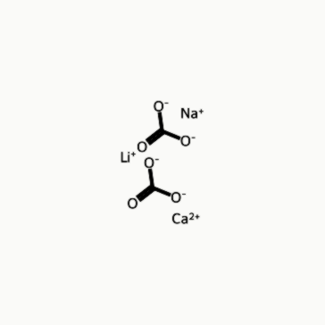 O=C([O-])[O-].O=C([O-])[O-].[Ca+2].[Li+].[Na+]